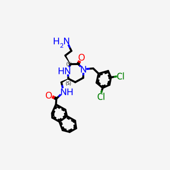 NCC[C@@H]1N[C@H](CNC(=O)c2ccc3ccccc3c2)CCN(Cc2cc(Cl)cc(Cl)c2)C1=O